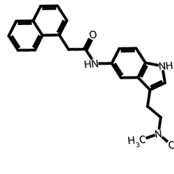 CN(C)CCc1c[nH]c2ccc(NC(=O)Cc3cccc4ccccc34)cc12